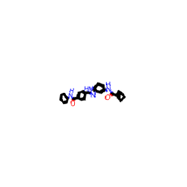 O=C(Nc1ccccc1)c1ccc(-c2nc3cc(NC(=O)C4CC5CCC4C5)ccc3[nH]2)cc1